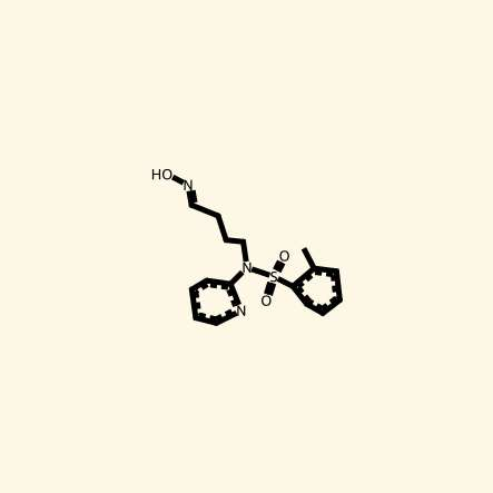 Cc1ccccc1S(=O)(=O)N(CCCC=NO)c1ccccn1